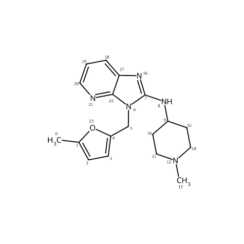 Cc1ccc(Cn2c(NC3CCN(C)CC3)nc3cccnc32)o1